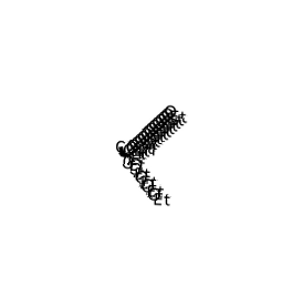 [CH2]COC=CC(=O)O.[CH2]C[O].[CH2]C[O].[CH2]C[O].[CH2]C[O].[CH2]C[O].[CH2]C[O].[CH2]C[O].[CH2]C[O].[CH2]C[O].[CH2]C[O].[CH2]C[O].[CH2]C[O].[CH2]C[O].[CH2]C[O].[CH2]C[O].[CH2]C[O].[CH2]C[O].[CH2]C[O].[CH2]C[O]